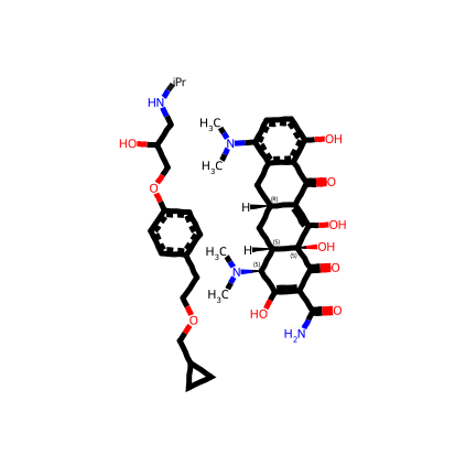 CC(C)NCC(O)COc1ccc(CCOCC2CC2)cc1.CN(C)c1ccc(O)c2c1C[C@H]1C[C@H]3[C@H](N(C)C)C(O)=C(C(N)=O)C(=O)[C@@]3(O)C(O)=C1C2=O